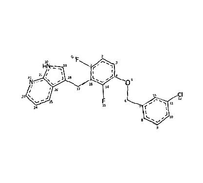 Fc1ccc(OCc2cccc(Cl)c2)c(F)c1Cc1c[nH]c2ncccc12